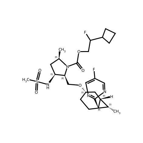 C[C@@H]1C[C@H](NS(C)(=O)=O)[C@H](CO[C@H]2CC[C@]3(c4ncc(F)cn4)[C@H](C2)[C@@H]3C)N1C(=O)OCC(F)C1CCC1